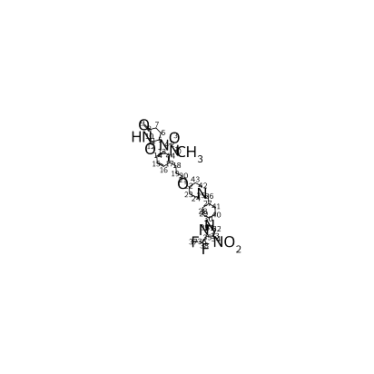 Cn1c(=O)n(C2CCC(=O)NC2=O)c2cccc(CCCOC3CCN(CC4CCC(n5cc([N+](=O)[O-])c(C(F)F)n5)CC4)CC3)c21